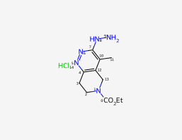 CCOC(=O)N1CCc2nnc(NN)c(C)c2C1.Cl